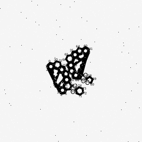 c1c2c3c4c(cc5c6c7c(cc8c9c%10c(cc%11c%12c(c1CC%11)c3c(c%12%10)c(c46)c79)C81c3cc4c6c7c(cc8c9c%10c(cc%11c%12c%13c(cc1c1c3c6c(c97)c(c%10%12)c%131)C1OC3(CCCO3)OC%111)C8)CC4)C1OC3(CCCCC3)OC51)C2